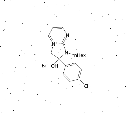 CCCCCCN1c2nccc[n+]2CC1(O)c1ccc(Cl)cc1.[Br-]